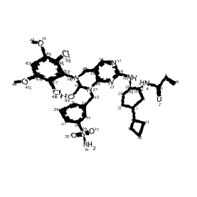 C=CC(=O)N[C@H]1CC(C2CCC2)CC[C@H]1Nc1ncc2c(n1)N(Cc1cccc(S(N)(=O)=O)c1)C(O)N(c1c(Cl)c(OC)cc(OC)c1Cl)C2